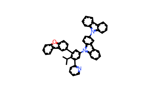 CC(C)c1c(-c2ccc3oc4ccccc4c3c2)cc(-n2c3ccccc3c3cc(-n4c5ccccc5c5ccccc54)ccc32)cc1-c1ccccn1